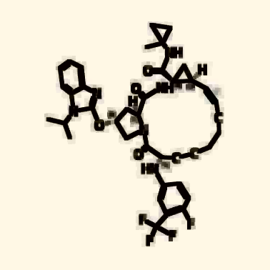 CC(C)n1c(O[C@@H]2C[C@H]3C(=O)N[C@]4(C(=O)NC5(C)CC5)C[C@H]4/C=C\CCCCC[C@H](Nc4ccc(F)c(C(F)(F)F)c4)C(=O)N3C2)nc2ccccc21